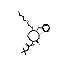 CCCCOCO[C@H]1COC[C@H](NC(=O)OC(C)(C)C)C(=O)O[C@@H](C)[C@@H]1Cc1ccccc1